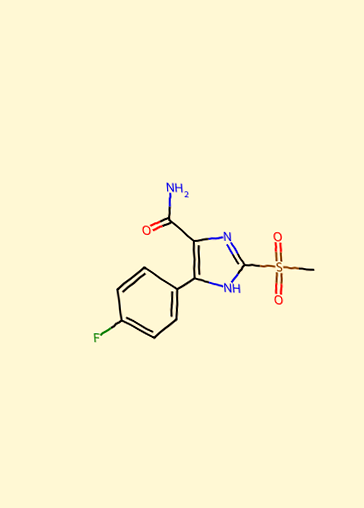 CS(=O)(=O)c1nc(C(N)=O)c(-c2ccc(F)cc2)[nH]1